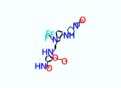 CNC(=O)c1ccc(NCC#Cc2cc3c(N[C@H]4CC[C@@H](N5CC6(COC6)C5)CC4)cccc3n2CC(F)(F)F)c(OCCOC)c1